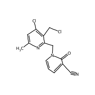 Cc1cc(Cl)c(CCl)c(Cn2cccc(C#N)c2=O)n1